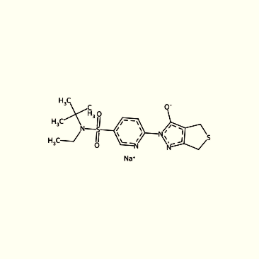 CCN(C(C)(C)C)S(=O)(=O)c1ccc(-n2nc3c(c2[O-])CSC3)nc1.[Na+]